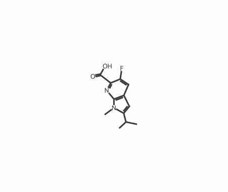 CC(C)c1cc2cc(F)c(C(=O)O)nc2n1C